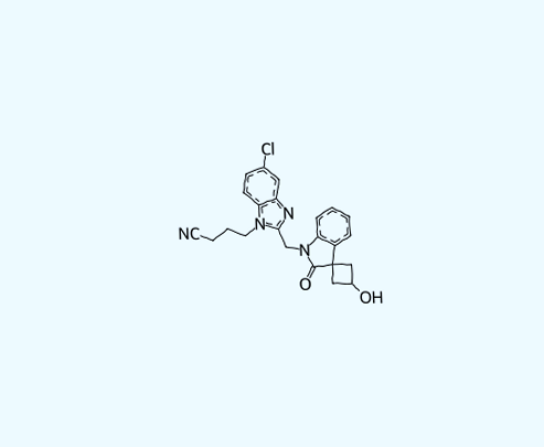 N#CCCCn1c(CN2C(=O)C3(CC(O)C3)c3ccccc32)nc2cc(Cl)ccc21